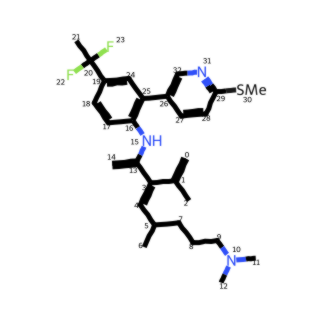 C=C(C)/C(=C\C(C)CCCN(C)C)C(=C)Nc1ccc(C(C)(F)F)cc1-c1ccc(SC)nc1